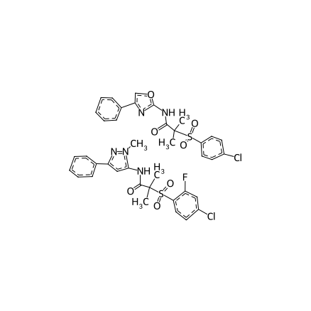 CC(C)(C(=O)Nc1nc(-c2ccccc2)co1)S(=O)(=O)c1ccc(Cl)cc1.Cn1nc(-c2ccccc2)cc1NC(=O)C(C)(C)S(=O)(=O)c1ccc(Cl)cc1F